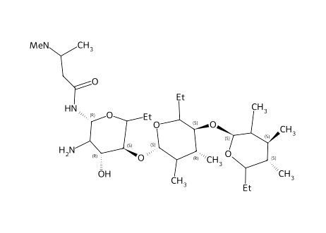 CCC1O[C@@H](O[C@@H]2C(CC)O[C@@H](O[C@@H]3C(CC)O[C@@H](NC(=O)CC(C)NC)C(N)[C@H]3O)C(C)[C@H]2C)C(C)[C@@H](C)[C@@H]1C